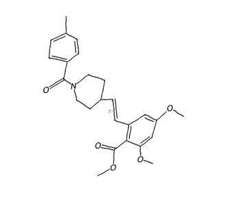 COC(=O)c1c(/C=C/C2CCN(C(=O)c3ccc(C)cc3)CC2)cc(OC)cc1OC